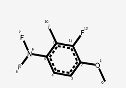 COc1ccc(N(F)F)c(I)c1F